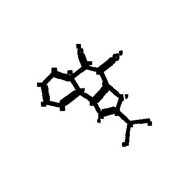 CC(C)c1nc2c(s1)C(=O)C(=O)c1ccccc1-2